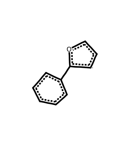 [c]1ccoc1-c1ccccc1